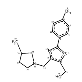 OCc1sc(-c2ccc(C(F)(F)F)cc2)nc1CN1CCC(C(F)(F)F)C1